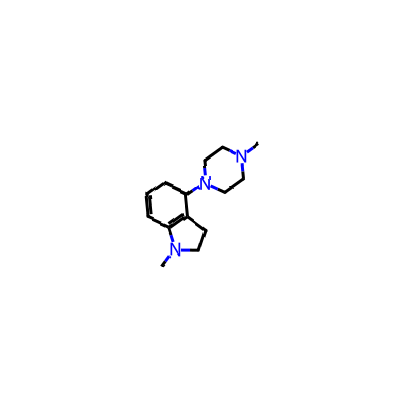 CN1CCN(C2CC=CC3=C2CCN3C)CC1